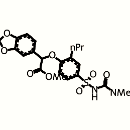 CCCc1cc(S(=O)(=O)NC(=O)NC)ccc1OC(C(=O)OC)c1ccc2c(c1)OCO2